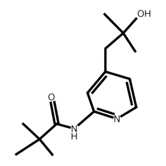 CC(C)(O)Cc1ccnc(NC(=O)C(C)(C)C)c1